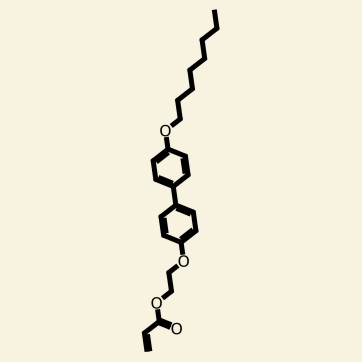 C=CC(=O)OCCOc1ccc(-c2ccc(OCCCCCCCC)cc2)cc1